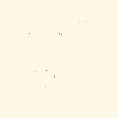 COC(=O)c1ccc(N2C[C@H](C)N(C(=O)OC(C)(C)C)[C@@H](C)C2)c2c(Cl)c(OC)nn12